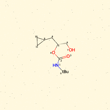 CC(C)(C)NC(=O)O[C@@H](CO)CC1CC1